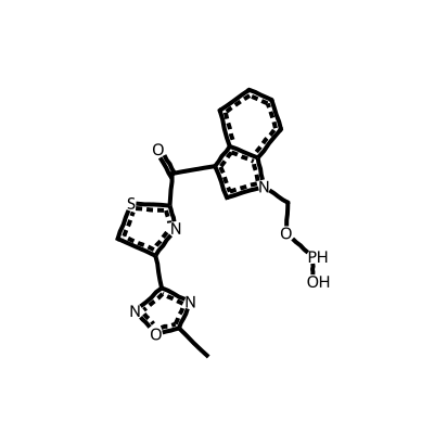 Cc1nc(-c2csc(C(=O)c3cn(COPO)c4ccccc34)n2)no1